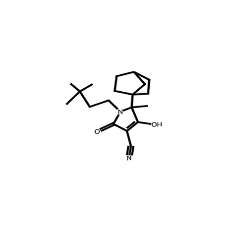 CC(C)(C)CCN1C(=O)C(C#N)=C(O)C1(C)C12CCC(CC1)C2